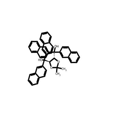 CC1(C)O[C@@H](C(O)(c2ccc3ccccc3c2)c2ccc3ccccc3c2)[C@H](C(O)(c2ccc3ccccc3c2)c2ccc3ccccc3c2)O1